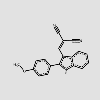 COc1ccc(-c2[nH]c3ccccc3c2C=C(C#N)C#N)cc1